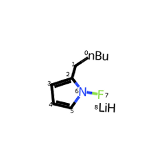 CCCCCc1cccn1F.[LiH]